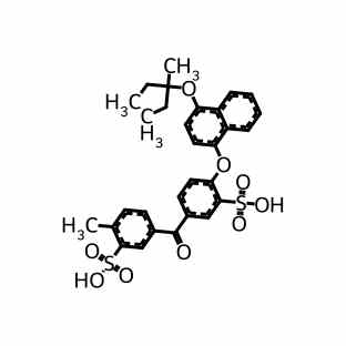 CCC(C)(CC)Oc1ccc(Oc2ccc(C(=O)c3ccc(C)c(S(=O)(=O)O)c3)cc2S(=O)(=O)O)c2ccccc12